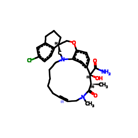 C[C@@H]1C(=O)N(C)C/C=C\CCCCCN2C[C@@]3(CCCc4cc(Cl)ccc43)COc3ccc(cc32)[C@]1(O)C(N)=O